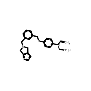 C=C[C@@H](CC(=O)O)c1ccc(OCc2cccc(CN3Cc4ccsc4C3)c2)cc1